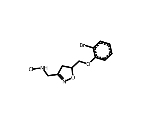 ClNCC1=NOC(COc2ccccc2Br)C1